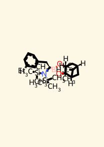 CCc1cccc(C[C@@H](B2O[C@@H]3C[C@@H]4C[C@@H](C4(C)C)[C@]3(C)O2)N([Si](C)(C)C)[Si](C)(C)C)c1